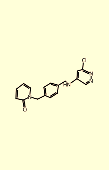 O=c1ccccn1Cc1ccc(CNc2cnnc(Cl)c2)cc1